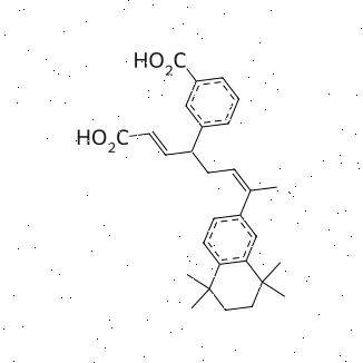 C/C(=C/CC(C=CC(=O)O)c1cccc(C(=O)O)c1)c1ccc2c(c1)C(C)(C)CCC2(C)C